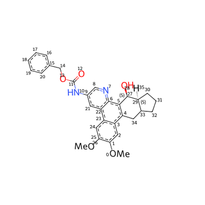 COc1cc2c3c(c4ncc(NC(=O)OCc5ccccc5)cc4c2cc1OC)[C@@H](O)[C@H]1CCCC1C3